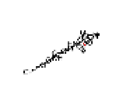 O=C(NCCOCCOCCCCCCCl)OCCOCCOCCNC(=O)c1ccc2c(c1)C1(OC2=O)c2ccc(N3CCC3)cc2Oc2cc(N3CCC3)ccc21